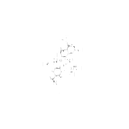 Cc1cc2c(N3CCN[C@@H](C)CC3)c(C(=O)N[C@@H](C)c3ccc(F)c(C(N)=O)c3)cnc2c(C2CC2)n1